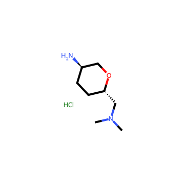 CN(C)C[C@@H]1CC[C@@H](N)CO1.Cl